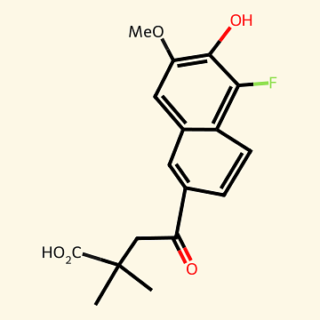 COc1cc2cc(C(=O)CC(C)(C)C(=O)O)ccc2c(F)c1O